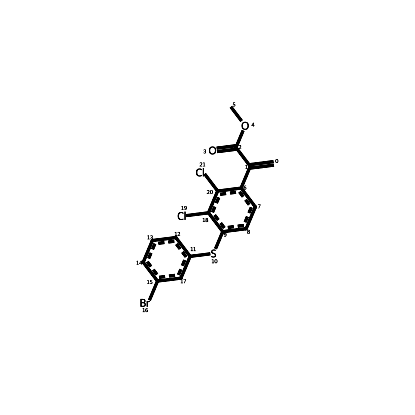 C=C(C(=O)OC)c1ccc(Sc2cccc(Br)c2)c(Cl)c1Cl